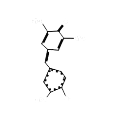 CCCCc1cc(C=C2C=C(C(C)(C)C)C(=O)C(C(C)(C)C)=C2)ccc1[O]